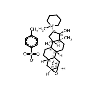 C[C@]12C[C@H]3O[C@H]3C[C@@H]1CC[C@@H]1[C@@H]2CC[C@]2(C)[C@H](O)[C@@H]([N+]3(C)CCCCC3)C[C@@H]12.Cc1ccc(S(=O)(=O)[O-])cc1